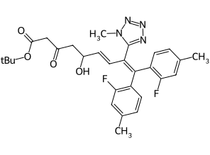 Cc1ccc(C(=C(C=CC(O)CC(=O)CC(=O)OC(C)(C)C)c2nnnn2C)c2ccc(C)cc2F)c(F)c1